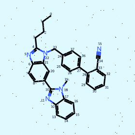 CCCCc1nc2ccc(-c3nc4ccccc4n3C)cc2n1Cc1ccc(-c2ccccc2C#N)cc1